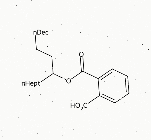 CCCCCCCCCCCCC(CCCCCCC)OC(=O)c1ccccc1C(=O)O